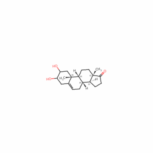 C[C@]12CC(O)C(O)CC1=CC[C@@H]1[C@H]2CC[C@]2(C)C(=O)CC[C@@H]12